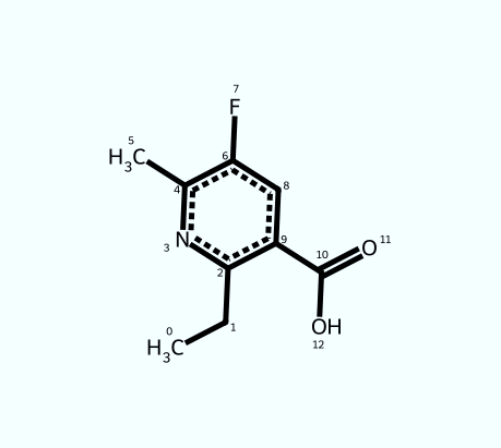 CCc1nc(C)c(F)cc1C(=O)O